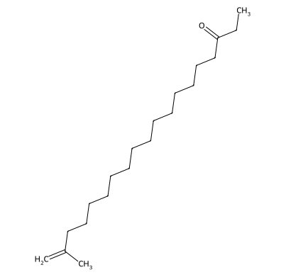 C=C(C)CCCCCCCCCCCCCCC(=O)CC